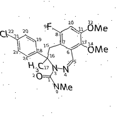 CNC(=O)N1N=Cc2c(c(F)cc(OC)c2OC)CC1(C)c1ccc(Cl)cc1